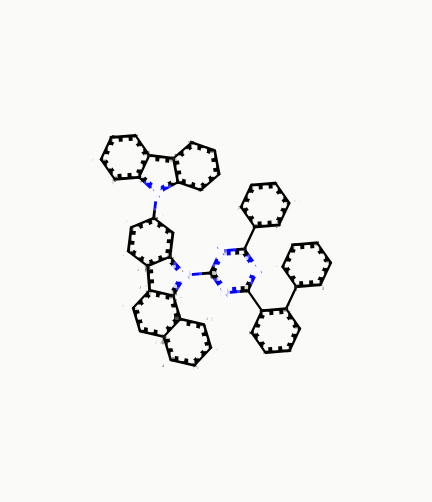 c1ccc(-c2nc(-c3ccccc3-c3ccccc3)nc(-n3c4cc(-n5c6ccccc6c6ccccc65)ccc4c4ccc5ccccc5c43)n2)cc1